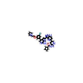 O=C(Nc1cncc(-c2ccc3[nH]nc(-c4cc5c(-c6cc(F)cc(OCCN7CCCC7)c6)cncc5[nH]4)c3n2)c1)C1CCCC1